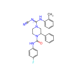 Cc1ccccc1N/C(=N/C#N)N1CCN(C(=O)Nc2ccc(F)cc2)C(c2ccccc2)C1